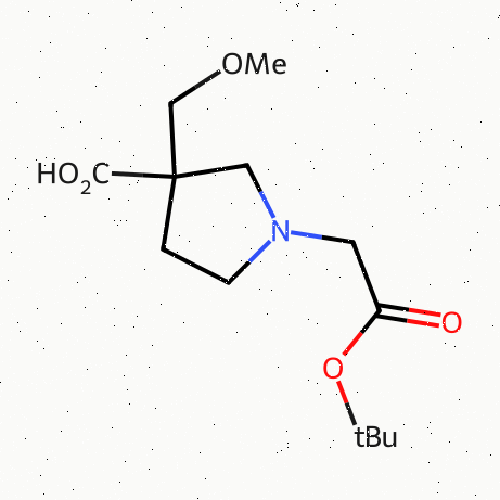 COCC1(C(=O)O)CCN(CC(=O)OC(C)(C)C)C1